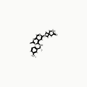 Cc1nc(N[C@H](C)c2cccc(C(F)(F)F)c2)c2cc(N3CC4(CNC(=O)C4)C3)ncc2n1